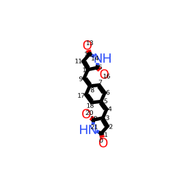 O=C1C=C(C=c2ccc(=CC3=CC(=O)NC3=O)cc2)C(=O)N1